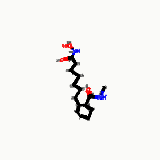 CNC(=O)c1ccccc1CCCCCCC(=O)NO